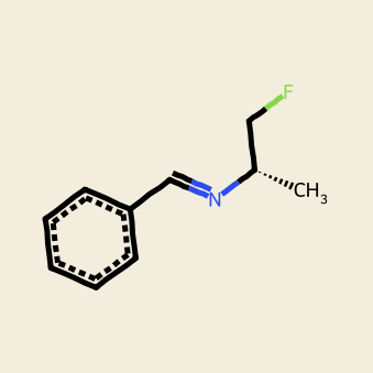 C[C@@H](CF)/N=C/c1ccccc1